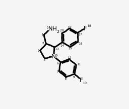 NCC1CCN(c2ccc(F)cc2)C1c1ccc(F)cc1